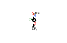 CC(C)(C)[S@@+]([O-])N=Cc1ccc(OCCCC(F)(F)F)cc1Cl